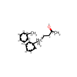 CCCC(C)=O.Cc1ccccc1.Cc1ccccc1